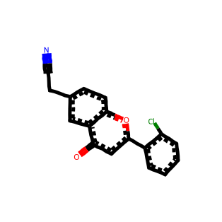 N#CCc1ccc2oc(-c3ccccc3Cl)cc(=O)c2c1